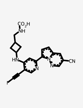 N#Cc1cnn2c(-c3cc(NC4CC(CNC(=O)O)C4)c(C#CI)cn3)ccc2c1